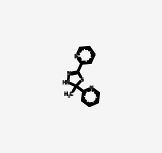 CC1(c2ccccn2)NN=C(c2ccccn2)S1